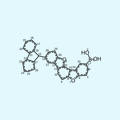 OB(O)c1ccc2oc3ccc4c5cc(C6c7ccccc7-c7ccccc76)ccc5oc4c3c2c1